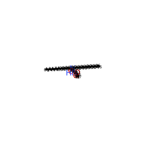 CCCCCCCCCCCCCCCCCCN(CCCCCCCCCCCCCCCCCC)C(=O)CNC(=O)OC(C)(C)C